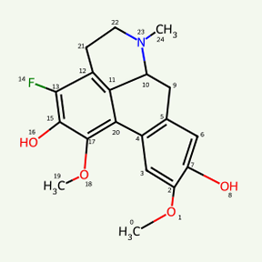 COc1cc2c(cc1O)CC1c3c(c(F)c(O)c(OC)c3-2)CCN1C